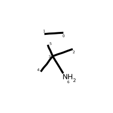 CC.CC(C)(C)N